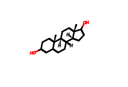 C[C@]12CCC(O)CC1CC[C@@H]1[C@@H]2CC[C@]2(C)C(O)CC[C@@H]12